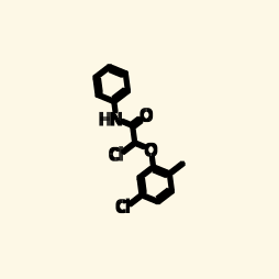 Cc1ccc(Cl)cc1OC(Cl)C(=O)Nc1ccccc1